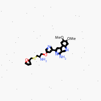 COc1cc2ncc3c(N)nc(-c4cncc(OC[C@@H](N)CSCc5ccco5)c4)cc3c2cc1OC